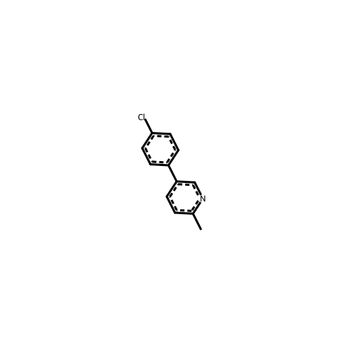 Cc1ccc(-c2ccc(Cl)cc2)cn1